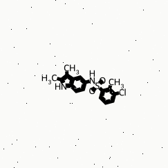 Cc1[nH]c2ccc(NS(=O)(=O)c3cccc(Cl)c3C)cc2c1C